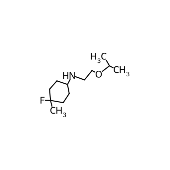 CC(C)OCCNC1CCC(C)(F)CC1